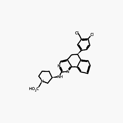 O=C(O)N1CCC[C@@H](Nc2ncc3c(n2)-c2ccccc2[C@H](c2ccc(Cl)c(Cl)c2)C3)C1